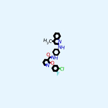 Cc1cc(N[C@H]2CC[C@@H](NC(=O)c3cccnc3Oc3ccc(F)c(Cl)c3)CC2)nc2ccccc12